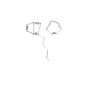 CCCCCc1cc2ccc1-2.[c]1ccccc1